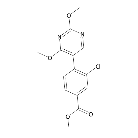 COC(=O)c1ccc(-c2cnc(OC)nc2OC)c(Cl)c1